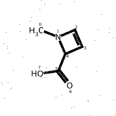 CN1C=CC1C(=O)O